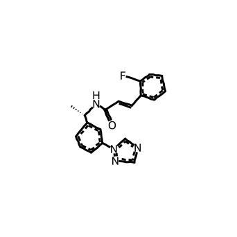 C[C@H](NC(=O)/C=C/c1ccccc1F)c1cccc(-n2cncn2)c1